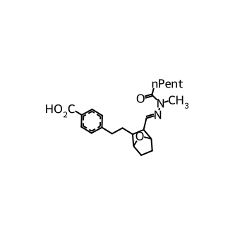 CCCCCC(=O)N(C)N=CC1C2CCC(O2)C1CCc1ccc(C(=O)O)cc1